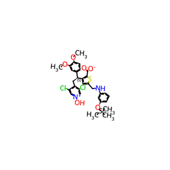 COc1ccc([C@H](Cc2c(Cl)c[n+](O)cc2Cl)c2cc(CNc3cccc(O[Si](C)(C)C)c3)sc2C(=O)[O-])cc1OC